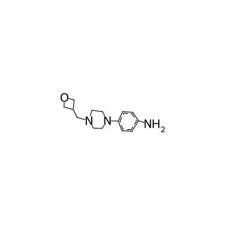 Nc1ccc(N2CCN(CC3COC3)CC2)cc1